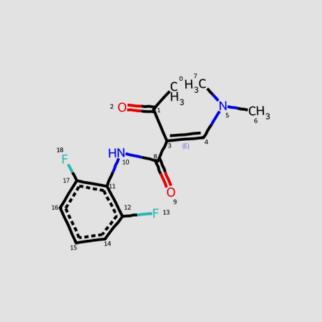 CC(=O)/C(=C\N(C)C)C(=O)Nc1c(F)cccc1F